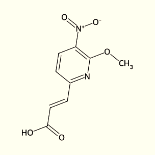 COc1nc(C=CC(=O)O)ccc1[N+](=O)[O-]